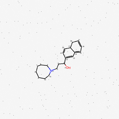 OC(CCN1CCCCCCC1)C1=CC2=CC=CCC2C=C1